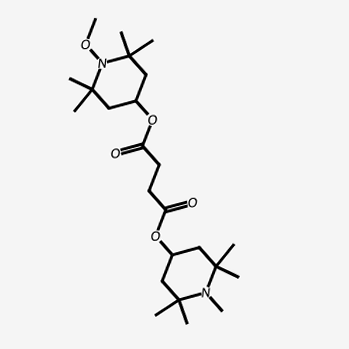 CON1C(C)(C)CC(OC(=O)CCC(=O)OC2CC(C)(C)N(C)C(C)(C)C2)CC1(C)C